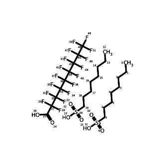 CCCCCCCCS(=O)(=O)O.CCCCCCCCS(=O)(=O)O.O=C(O)C(F)(F)C(F)(F)C(F)(F)C(F)(F)C(F)(F)C(F)(F)C(F)(F)C(F)(F)F